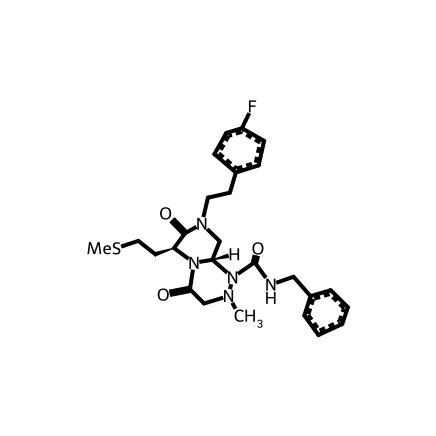 CSCC[C@H]1C(=O)N(CCc2ccc(F)cc2)C[C@H]2N1C(=O)CN(C)N2C(=O)NCc1ccccc1